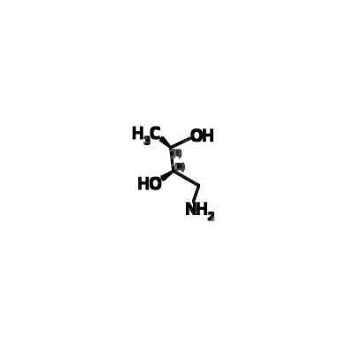 C[C@@H](O)[C@H](O)CN